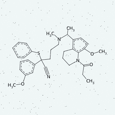 CCC(=O)N1CCCc2c(C(C)N(C)CCCC(C#N)(Sc3ccccc3)c3cccc(OC)c3)ccc(OC)c21